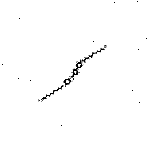 O=C(Oc1ccc(OCCCCCCCCCCCO)cc1)c1ccc(-c2ccc(OCCCCCCCCCCCO)cc2)cc1